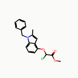 COC(=O)C(Cl)Oc1cccc2c1cc(C)n2Cc1ccccc1